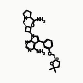 CC1(C)CC[C@@H](COc2cccc(-c3cn([C@H]4C[C@@H](CN5CCCC5C(N)=O)C4)c4ncnc(N)c34)c2)O1